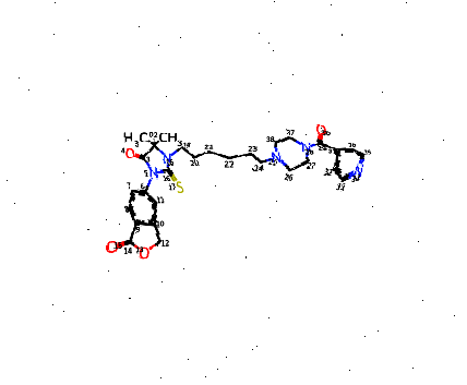 CC1(C)C(=O)N(c2ccc3c(c2)COC3=O)C(=S)N1CCCCCCN1CCN(C(=O)c2ccncc2)CC1